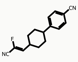 N#CC(F)=CC1CCC(c2ccc(C#N)cc2)CC1